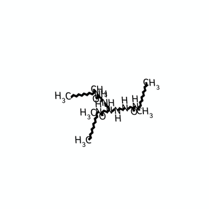 CCCCCCCCCCC(C)NC(=O)CCNCCNCCN(CCNCCC(=O)NC(C)CCCCCCCCCC)CCC(=O)NC(C)CCCCCCCCCC